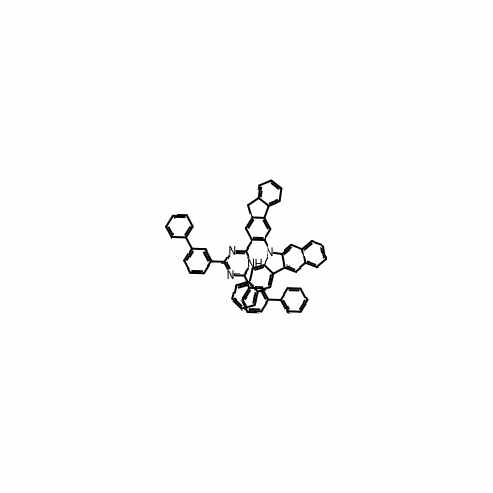 c1ccc(-c2cccc(C3=NC(c4cccc(-c5ccccc5)c4)NC(c4cc5c(cc4-n4c6cc7ccccc7cc6c6cc7ccccc7cc64)-c4ccccc4C5)=N3)c2)cc1